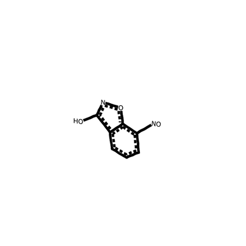 O=Nc1cccc2c(O)noc12